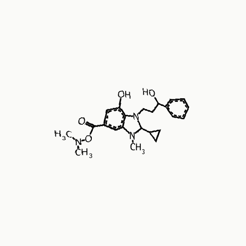 CN(C)OC(=O)c1cc(O)c2c(c1)N(C)C(C1CC1)N2CCC(O)c1ccccc1